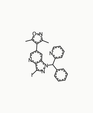 Cc1noc(C)c1-c1cnc2c(I)nn(C(c3ccccc3)c3ccccn3)c2c1